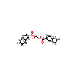 O=C(OCCOC(=O)C1CC2CC1C1C3C=CC(C3)C21)C1CC2CC1C1C3C=CC(C3)C21